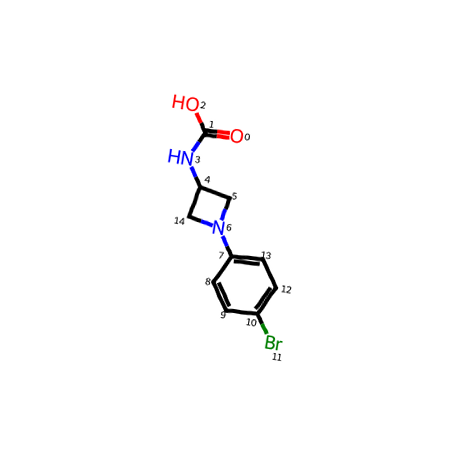 O=C(O)NC1CN(c2ccc(Br)cc2)C1